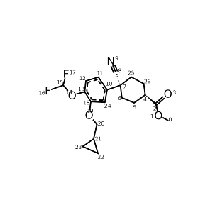 COC(=O)[C@H]1CC[C@@](C#N)(c2ccc(OC(F)F)c(OCC3CC3)c2)CC1